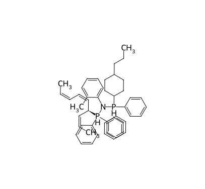 C/C=C\C=C/[C@H](/C=C\C)[PH](c1ccccc1)(c1ccccc1)N(c1ccccc1C)[PH](c1ccccc1)(c1ccccc1)C1CCC(CCC)CC1